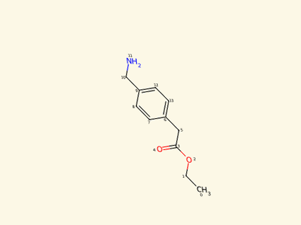 CCOC(=O)Cc1ccc(CN)cc1